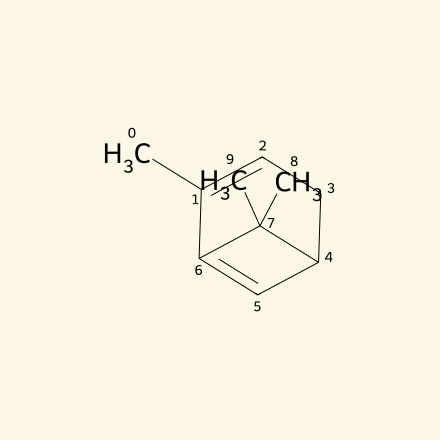 CC1=CCC2C=C1C2(C)C